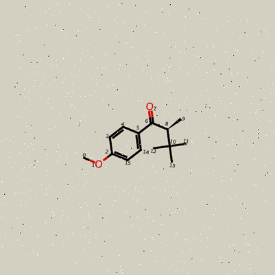 COc1ccc(C(=O)[C@@H](C)C(C)(C)C)cc1